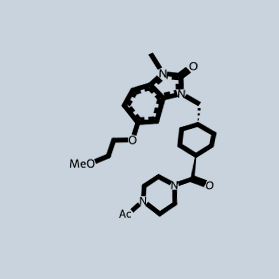 COCCOc1ccc2c(c1)n(C[C@H]1CC[C@H](C(=O)N3CCN(C(C)=O)CC3)CC1)c(=O)n2C